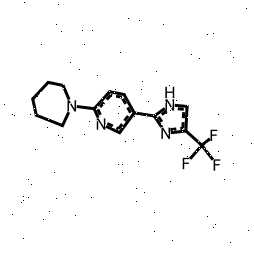 FC(F)(F)c1c[nH]c(-c2ccc(N3CCCCC3)nc2)n1